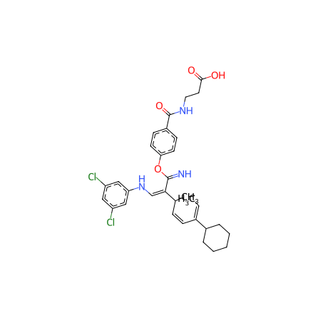 C/C=C(\C=C/C(C)/C(=C/Nc1cc(Cl)cc(Cl)c1)C(=N)Oc1ccc(C(=O)NCCC(=O)O)cc1)C1CCCCC1